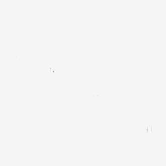 O=C(CCN(CCO)CCO)OCCCCO